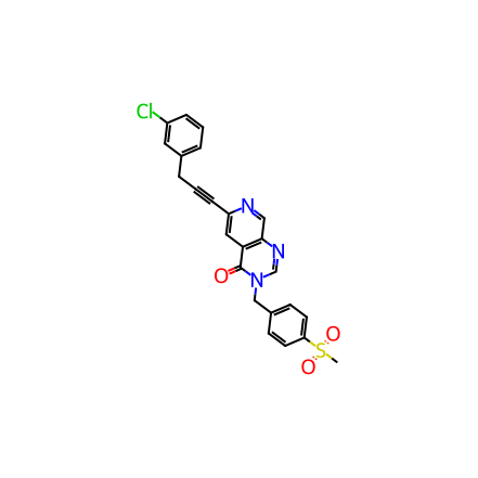 CS(=O)(=O)c1ccc(Cn2cnc3cnc(C#CCc4cccc(Cl)c4)cc3c2=O)cc1